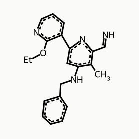 CCOc1ncccc1-c1cc(NCc2ccccc2)c(C)c(C=N)n1